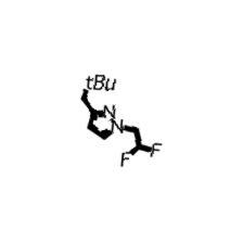 CC(C)(C)Cc1ccn(CC(F)F)n1